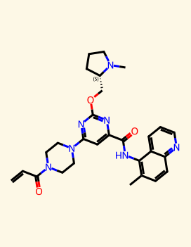 C=CC(=O)N1CCN(c2cc(C(=O)Nc3c(C)ccc4ncccc34)nc(OC[C@@H]3CCCN3C)n2)CC1